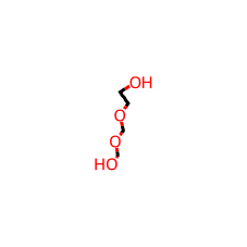 OCCOCOCO